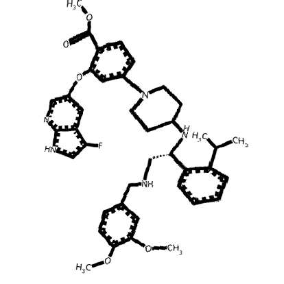 COC(=O)c1ccc(N2CCC(N[C@@H](CNCc3ccc(OC)c(OC)c3)c3ccccc3C(C)C)CC2)cc1Oc1cnc2[nH]cc(F)c2c1